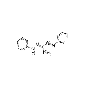 N/C(N=Nc1ccccc1)=N\Nc1ccccc1